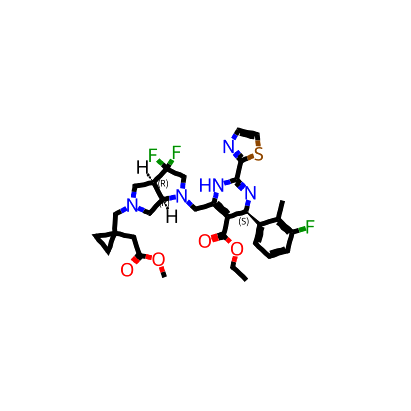 CCOC(=O)C1=C(CN2CC(F)(F)[C@@H]3CN(CC4(CC(=O)OC)CC4)C[C@@H]32)NC(c2nccs2)=N[C@H]1c1cccc(F)c1C